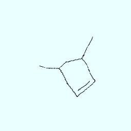 CC1C=CC1C